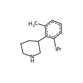 Cc1cccc(C(C)C)c1C1CCCNC1